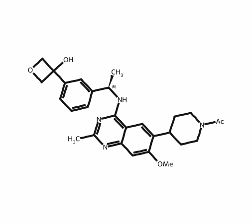 COc1cc2nc(C)nc(N[C@H](C)c3cccc(C4(O)COC4)c3)c2cc1C1CCN(C(C)=O)CC1